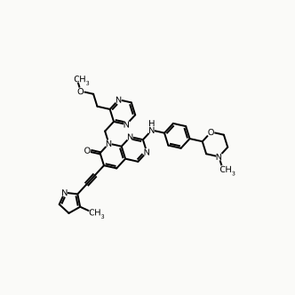 COCCc1nccnc1Cn1c(=O)c(C#CC2=C(C)CC=N2)cc2cnc(Nc3ccc(C4CN(C)CCO4)cc3)nc21